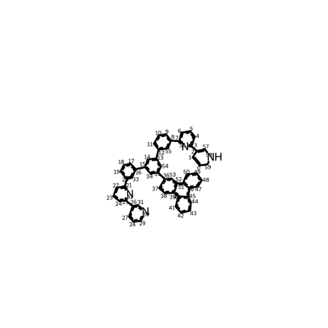 C1=CC(c2cccc(-c3cccc(-c4cc(-c5cccc(-c6cccc(-c7cccnc7)n6)c5)cc(-c5ccc6c7ccccc7c7ccccc7c6c5)c4)c3)n2)=CNC1